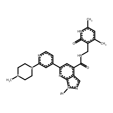 Cc1cc(C)c(CNC(=O)c2cc(-c3ccnc(N4CCN(C)CC4)c3)nc3c2cnn3C(C)C)c(=O)[nH]1